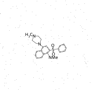 CNc1c(S(=O)(=O)c2ccccc2)cc(N2CCN(C)CC2)c2ccccc12